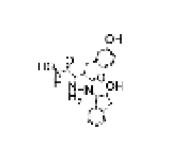 NC(C(=O)NO)C(Cc1cccc(O)c1)C(=O)NC1c2ccccc2CC1O